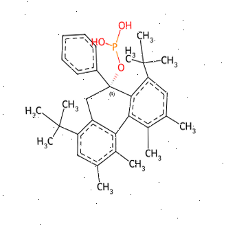 Cc1cc(C(C)(C)C)c2c(c1C)-c1c(C)c(C)cc(C(C)(C)C)c1[C@](OP(O)O)(c1ccccc1)C2